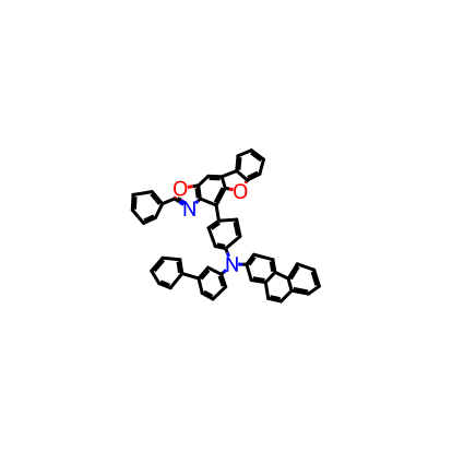 c1ccc(-c2cccc(N(c3ccc(-c4c5nc(-c6ccccc6)oc5cc5c4oc4ccccc45)cc3)c3ccc4c(ccc5ccccc54)c3)c2)cc1